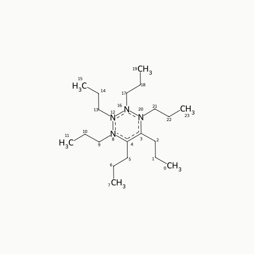 CCCc1c(CCC)n(CCC)n(CCC)n(CCC)n1CCC